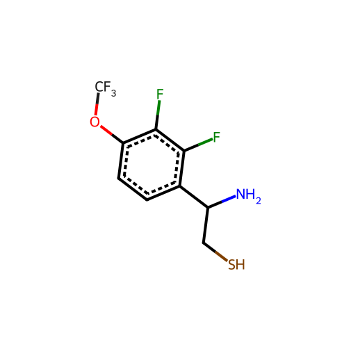 NC(CS)c1ccc(OC(F)(F)F)c(F)c1F